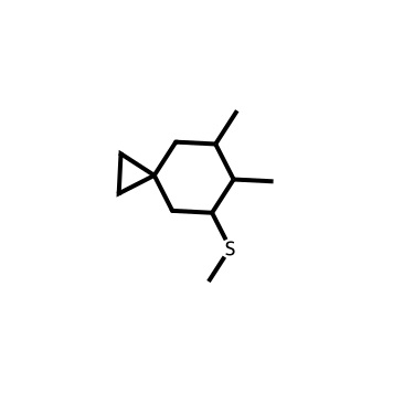 CSC1CC2(CC2)CC(C)C1C